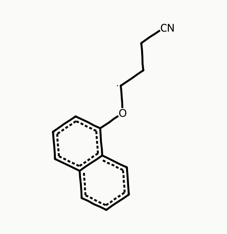 N#CCC[CH]Oc1cccc2ccccc12